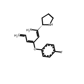 C=C/C=C(\C=C(/N)[C@@H]1CCCN1)Oc1ccc(F)cc1